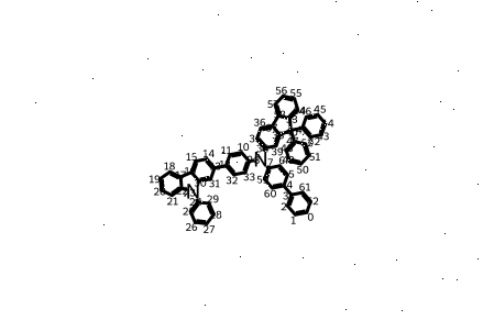 c1ccc(-c2ccc(N(c3ccc(-c4ccc5c6ccccc6n(-c6ccccc6)c5c4)cc3)c3ccc4c(c3)C(c3ccccc3)(c3ccccc3)c3ccccc3-4)cc2)cc1